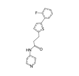 O=C(CCc1ccc(-c2ccccc2F)s1)Nc1ccncc1